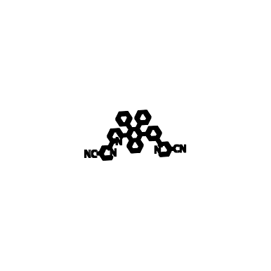 N#Cc1ccnc(-c2cccc(-c3c(-c4ccccc4)c(-c4ccccc4)c(-c4cccc(-c5cc(C#N)ccn5)n4)c4ccccc34)c2)c1